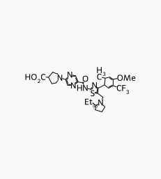 CC[C@@H]1CCCN1Cc1sc(NC(=O)c2cnc(N3CCC(C(=O)O)CC3)cn2)nc1C1C=C(C(F)(F)F)C(OC)=CC1C